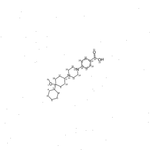 COC1(C2CCCCC2)CCC(N2CCN(c3ccc(C(=O)O)cc3)CC2)CC1